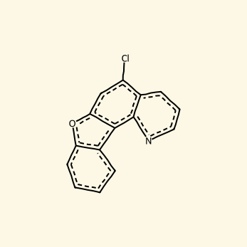 Clc1cc2oc3ccccc3c2c2ncccc12